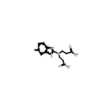 Cc1ccc2nc(N(CCC(=O)O)CCC(=O)O)sc2c1